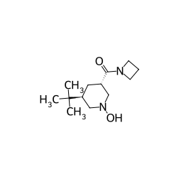 CC(C)(C)[C@H]1C[C@H](C(=O)N2CCC2)CN(O)C1